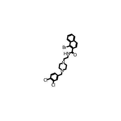 O=C(NCCN1CCN(Cc2ccc(Cl)c(Cl)c2)CC1)c1ccc2ccccc2c1Br